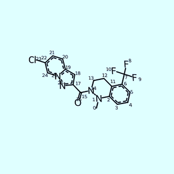 CN1c2cccc(C(F)(F)F)c2CCN1C(=O)c1cc2ccc(Cl)cn2n1